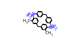 Cc1cc(Cc2ccc(N)c(C)c2)ccc1N.Nc1ccc(Cc2ccc(N)cc2)cc1